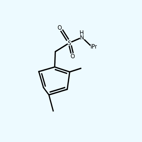 Cc1ccc(CS(=O)(=O)NC(C)C)c(C)c1